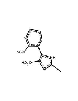 COc1ncccc1-c1[nH]c(C)cc1C(=O)O